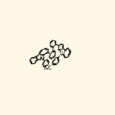 N#Cc1ccc(-n2c3ccccc3c3ccc(-c4ccccc4-c4ccccc4-c4cccc5c6ccccc6n(-c6ccccc6)c45)cc32)cc1